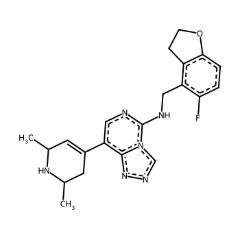 CC1C=C(c2cnc(NCc3c(F)ccc4c3CCO4)n3cnnc23)CC(C)N1